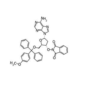 COc1ccc(C(OC[C@H]2O[C@H](n3cnc4c(N)ncnc43)C[C@@H]2ON2C(=O)c3ccccc3C2=O)(c2ccccc2)c2ccccc2)cc1